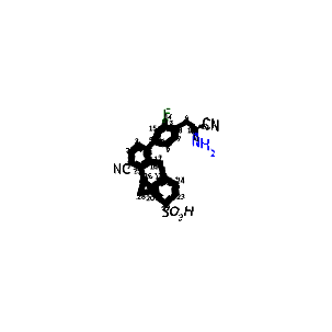 N#Cc1ccc(-c2ccc(C[C@H](N)C#N)c(F)c2)c(Cc2ccc(S(=O)(=O)O)cc2)c1C1CC1